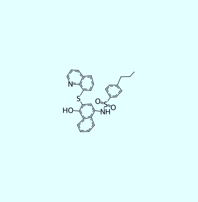 CCCc1ccc(S(=O)(=O)Nc2cc(Sc3cccc4cccnc34)c(O)c3ccccc23)cc1